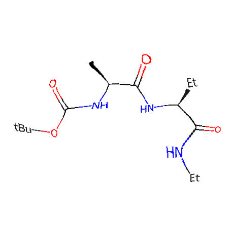 CCNC(=O)[C@H](CC)NC(=O)[C@H](C)NC(=O)OC(C)(C)C